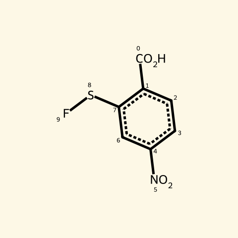 O=C(O)c1ccc([N+](=O)[O-])cc1SF